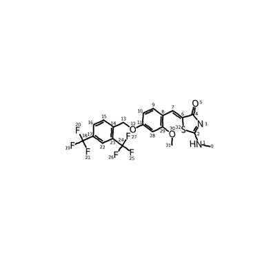 CNC1=NC(=O)C(=Cc2ccc(OCc3ccc(C(F)(F)F)cc3C(F)(F)F)cc2OC)S1